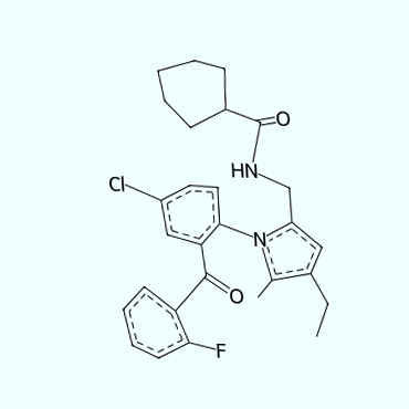 CCc1cc(CNC(=O)C2CCCCC2)n(-c2ccc(Cl)cc2C(=O)c2ccccc2F)c1C